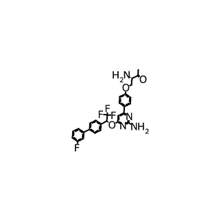 CC(=O)[C@@H](N)COc1ccc(-c2cc(O[C@@H](c3ccc(-c4cccc(F)c4)cc3)C(F)(F)F)nc(N)n2)cc1